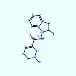 CC1Cc2ccccc2N1NC(=O)C1=CCCN(C)C1